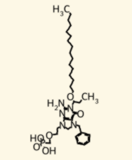 CCCCCCCCCCCCCCCCOC(CC)n1c(N)nc2c(c1=O)N(Cc1ccccc1)CN2CCOCP(=O)(O)O